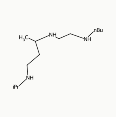 CCCCNCCNC(C)CCNC(C)C